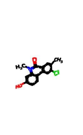 Cc1cc2c(=O)n(C)c3cc(O)ccc3c2cc1Cl